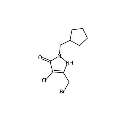 O=c1c(Cl)c(CBr)[nH]n1CC1CCCC1